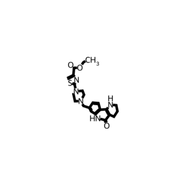 CCOC(=O)c1csc(N2CCN(Cc3ccc4c5c(c(=O)[nH]c4c3)CCCN5)CC2)n1